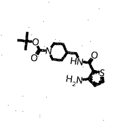 CC(C)(C)OC(=O)N1CCC(CNC(=O)c2sccc2N)CC1